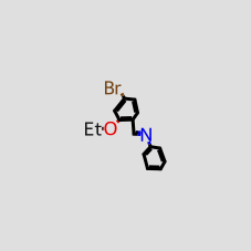 CCOc1cc(Br)ccc1C=Nc1ccccc1